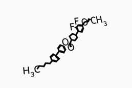 C/C=C/Oc1ccc(C2CCC(C(=O)Oc3ccc(-c4ccc(CCCCC)cc4)cc3)CC2)c(F)c1F